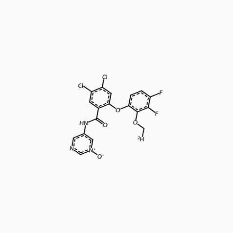 [2H]COc1c(Oc2cc(Cl)c(Cl)cc2C(=O)Nc2cnc[n+]([O-])c2)ccc(F)c1F